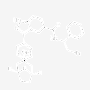 CC(C)C[C@H](NC(=O)c1ccc2[nH]nc(-c3ccc(N4[C@@H]5CC[C@H]4CC(O)C5)cc3)c2c1)c1ccccc1